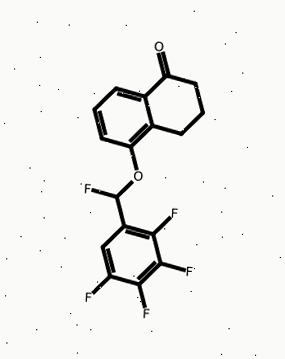 O=C1CCCc2c(OC(F)c3cc(F)c(F)c(F)c3F)cccc21